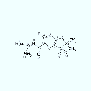 CC1(C)Cc2cc(F)c(C(=O)N=C(N)N)cc2S1(=O)=O